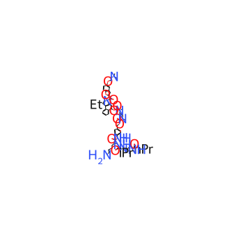 CCCC(=O)NCCN[C@H](C(=O)NC(CCCCN)C(=O)Nc1ccc(COC(=O)N(C)CCN(C)C(=O)Oc2cc3c(c4ccccc24)[C@H](CC)CN3C(=O)c2cc3cc(OCCN(C)C)ccc3o2)cc1)C(C)C